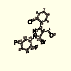 O=Cc1c(-c2ccccc2Cl)nn(-c2cc(F)ccc2F)c1Br